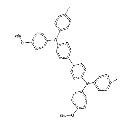 CCCCOc1ccc(N(c2ccc(C)cc2)c2ccc(-c3ccc(N(c4ccc(C)cc4)c4ccc(OCCCC)cc4)cc3)cc2)cc1